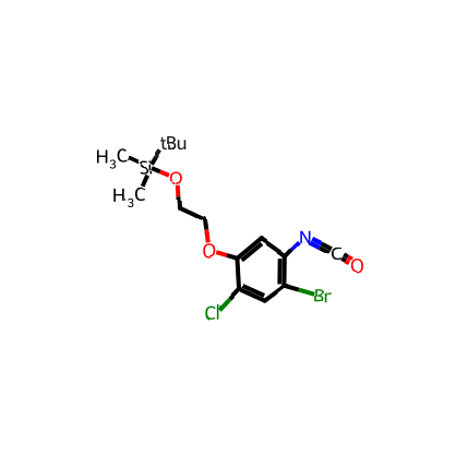 CC(C)(C)[Si](C)(C)OCCOc1cc(N=C=O)c(Br)cc1Cl